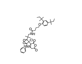 CCC(C)(C)c1ccc(OCCCC(=O)NCC(C)(C)C(=O)C(Cl)(C(=O)Nc2ccccc2)C2=NCC(=O)OC2=O)c(C(C)(C)CC)c1